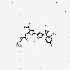 COCCNC(=O)Cn1nc(-c2nc(C3(c4ccc(F)cc4Cl)CC3)no2)cc1C(F)F